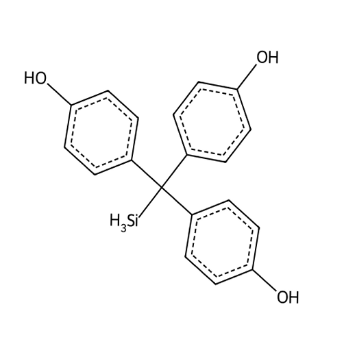 Oc1ccc(C([SiH3])(c2ccc(O)cc2)c2ccc(O)cc2)cc1